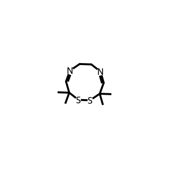 CC1(C)C=NCCN=CC(C)(C)SS1